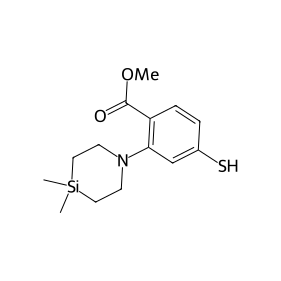 COC(=O)c1ccc(S)cc1N1CC[Si](C)(C)CC1